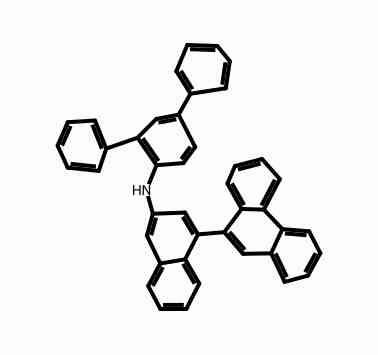 c1ccc(-c2ccc(Nc3cc(-c4cc5ccccc5c5ccccc45)c4ccccc4c3)c(-c3ccccc3)c2)cc1